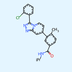 Cc1ccc(C(=O)NC(C)C)cc1-c1ccn2c(-c3ccccc3Cl)nnc2c1